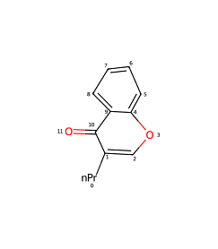 CCCc1coc2ccccc2c1=O